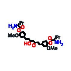 COc1cc(/C=C/C(=O)/C=C(O)/C=C/c2ccc(OC(=O)C(N)C(C)C)c(OC)c2)ccc1OC(=O)C(N)C(C)C